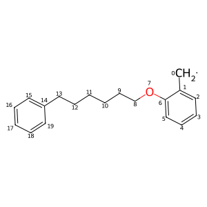 [CH2]c1ccccc1OCCCCCCc1ccccc1